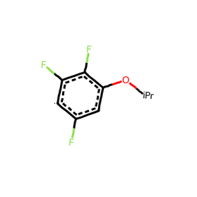 CC(C)Oc1cc(F)[c]c(F)c1F